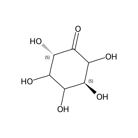 O=C1C(O)[C@@H](O)C(O)C(O)[C@@H]1O